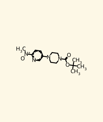 C[N+](=O)c1ccc(N2CCN(C(=O)OC(C)(C)C)CC2)cn1